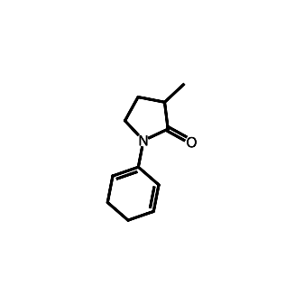 CC1CCN(C2=CCCC=C2)C1=O